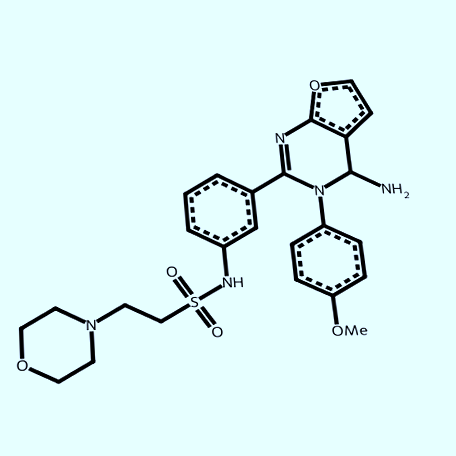 COc1ccc(N2C(c3cccc(NS(=O)(=O)CCN4CCOCC4)c3)=Nc3occc3C2N)cc1